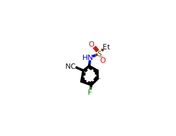 CCS(=O)(=O)Nc1c[c]c(F)cc1C#N